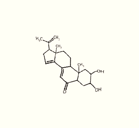 C=C(C)C1CC=C2C3=CC(=O)C4CC(O)C(O)CC4(C)C3CCC21C